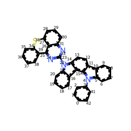 c1ccc(-n2c3ccccc3c3ccc4c(c5ccccc5n4-c4nc5c6c(cccc6n4)Sc4ccccc4-5)c32)cc1